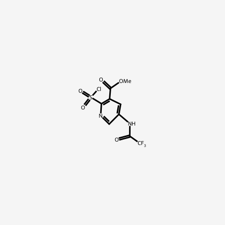 COC(=O)c1cc(NC(=O)C(F)(F)F)cnc1S(=O)(=O)Cl